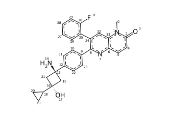 Cn1c(=O)ccc2nc(-c3ccc([C@]4(N)C[C@@](O)(C5CC5)C4)cc3)c(-c3ccccc3F)cc21